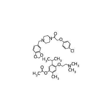 CC(=O)Oc1cc(C(C)C)c(OCCN(C)C)cc1C.O=C(COc1ccc(Cl)cc1)N1CCN(Cc2ccc3c(c2)OCO3)CC1